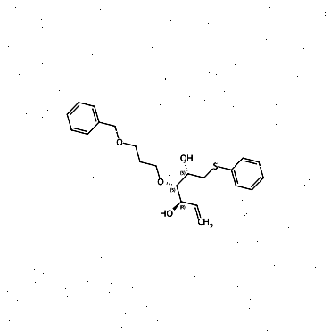 C=C[C@@H](O)[C@H](OCCCOCc1ccccc1)[C@H](O)CSc1ccccc1